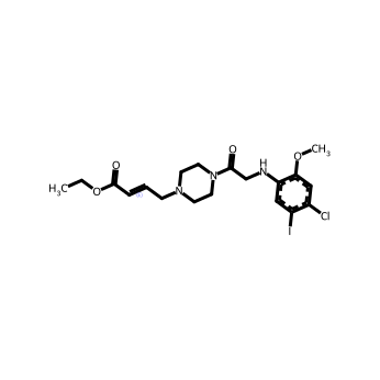 CCOC(=O)/C=C/CN1CCN(C(=O)CNc2cc(I)c(Cl)cc2OC)CC1